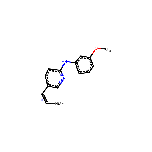 CN/C=C\c1ccc(Nc2cccc(OC(F)(F)F)c2)nc1